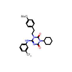 COc1ccc(CCn2c(Nc3cccc(C(F)(F)F)c3)nc(=O)n(C3CCCCC3)c2=O)cc1